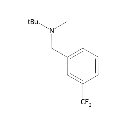 CN(Cc1cccc(C(F)(F)F)c1)C(C)(C)C